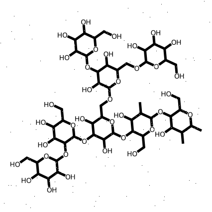 CC1OC(CO)C(OC2OC(CO)C(OC3OC(COC4OC(COC5OC(CO)C(O)C(O)C5O)C(O)C(OC5OC(CO)C(O)C(O)C5O)C4O)C(O)C(OC4OC(CO)C(O)C(O)C4OC4OC(CO)C(O)C(O)C4O)C3O)C(O)C2C)C(O)C1C